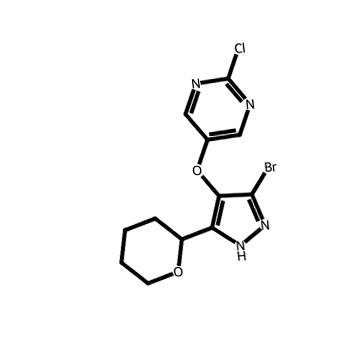 Clc1ncc(Oc2c(Br)n[nH]c2C2CCCCO2)cn1